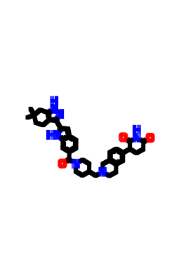 CC1(C)CCc2c(-c3cc4ccc(C(=O)N5CCC(CN6CCc7cc(C8CCC(=O)NC8=O)ccc7C6)CC5)cc4[nH]3)n[nH]c2C1